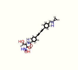 C[C@@H](O)[C@H](NC(=O)c1ccc(C#CC#Cc2ccc(CNC3CC3)cc2)cc1)C(=O)NO